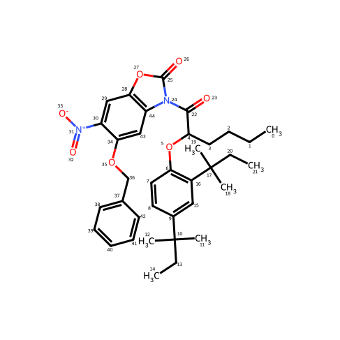 CCCCC(Oc1ccc(C(C)(C)CC)cc1C(C)(C)CC)C(=O)n1c(=O)oc2cc([N+](=O)[O-])c(OCc3ccccc3)cc21